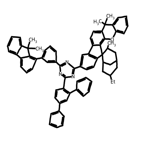 CCC1CC2CC(C)C3(c4ccc(-c5nc(-c6cccc(-c7cccc8c7C(C)(C)c7ccccc7-8)c6)nc(-c6ccc(-c7ccccc7)cc6-c6ccccc6)n5)cc4-c4ccc5c(c43)Oc3ccccc3C5(C)C)C(C1)C2